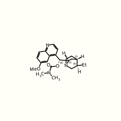 CC[C@H]1CN2CC[C@H]1C[C@H]2[C@H](OC(=O)N(C)C)c1ccnc2ccc(OC)cc12